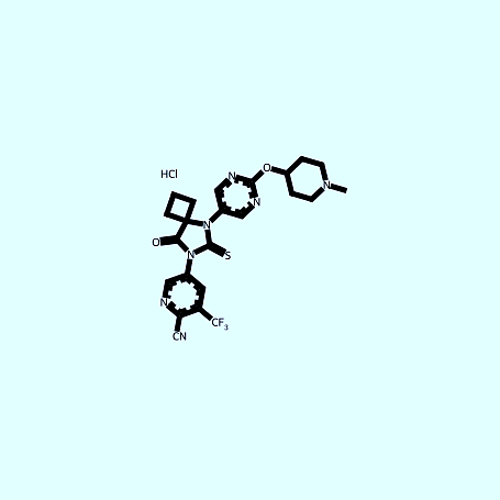 CN1CCC(Oc2ncc(N3C(=S)N(c4cnc(C#N)c(C(F)(F)F)c4)C(=O)C34CCC4)cn2)CC1.Cl